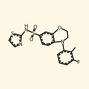 Cc1c(F)cccc1N1CCOc2cc(S(=O)(=O)Nc3nccs3)ccc21